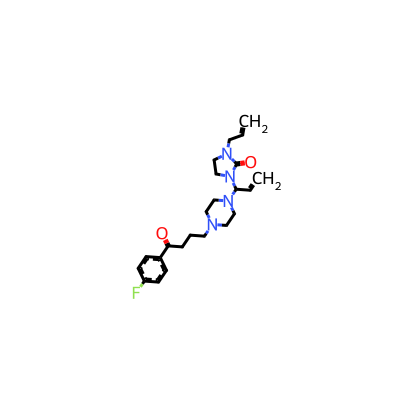 C=CCN1CCN(C(C=C)N2CCN(CCCC(=O)c3ccc(F)cc3)CC2)C1=O